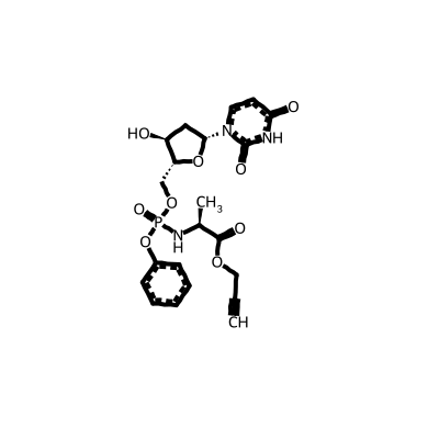 C#CCOC(=O)[C@H](C)NP(=O)(OC[C@H]1O[C@@H](n2ccc(=O)[nH]c2=O)C[C@@H]1O)Oc1ccccc1